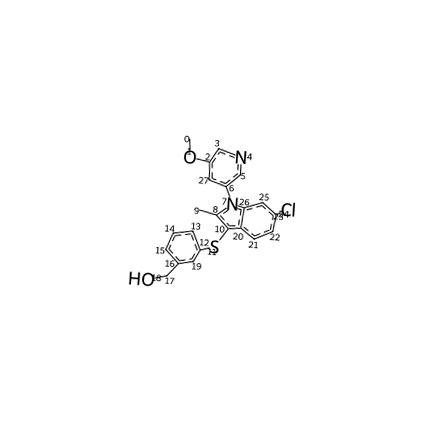 COc1cncc(-n2c(C)c(Sc3cccc(CO)c3)c3ccc(Cl)cc32)c1